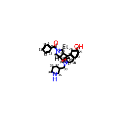 CCC1C2[C@@H](CN1C(=O)c1ccccc1)CC1(C)C3Cc4ccc(O)cc4C21CCN3CC1CCCNC1